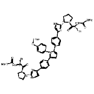 CCCCCCOc1ccc(-n2c(-c3ccc(-c4c[nH]c([C@@H]5CCCN5C(=O)[C@@H](NC(=O)OC)C(C)C)n4)cc3)ccc2-c2ccc(-c3c[nH]c([C@@H]4CCCN4C(=O)[C@@H](NC(=O)OC)C(C)C)n3)cc2)cc1